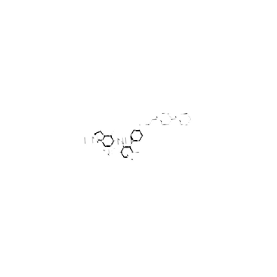 Cc1ncc(C#N)c(Nc2ccc3[nH]ccc3c2C)c1-c1ccc(OCCN2CCC(N3CCCCC3)CC2)cc1